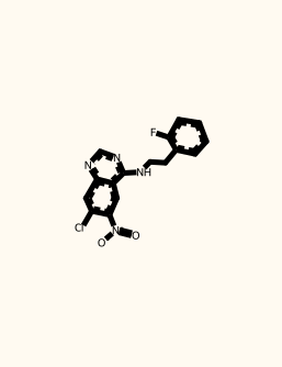 O=[N+]([O-])c1cc2c(NCCc3ccccc3F)ncnc2cc1Cl